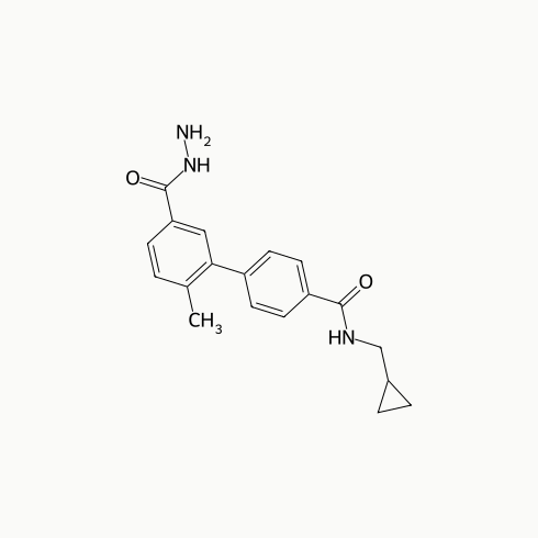 Cc1ccc(C(=O)NN)cc1-c1ccc(C(=O)NCC2CC2)cc1